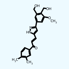 COc1cc(-c2cc(/C=C/C(=O)c3ccc(C)c(C)c3)[nH]n2)cc(CO)c1CO